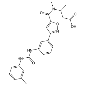 Cc1cccc(NC(=O)Nc2cccc(-c3cc(C(=O)N(C)C(C)CC(=O)O)on3)c2)c1